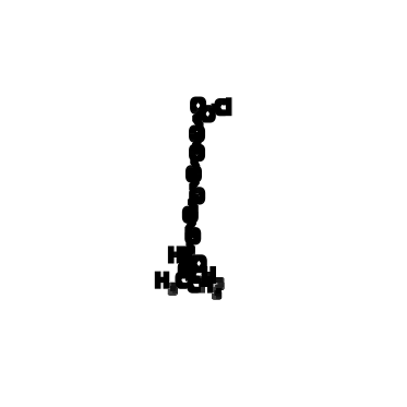 CC(C)(C)OC(=O)NCCOCCOCCOCCOCCOCCOCCC(=O)OCCl